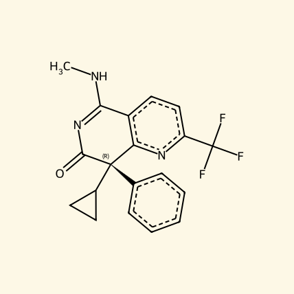 CNC1=NC(=O)[C@@](c2ccccc2)(C2CC2)c2nc(C(F)(F)F)ccc21